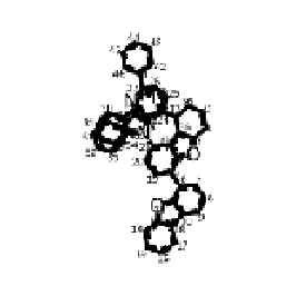 C1=Cc2oc3c(-c4cccc5c4oc4ccccc45)ccc(-n4c5ccccc5c5ccccc54)c3c2C(c2nc(-c3ccccc3)nc(-c3ccccc3)n2)C1